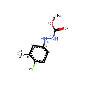 CC(C)(C)OC(=O)NNc1ccc(F)c(C(F)(F)F)c1